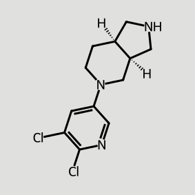 Clc1cc(N2CC[C@H]3CNC[C@H]3C2)cnc1Cl